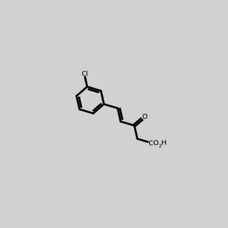 O=C(O)CC(=O)C=Cc1cccc(Cl)c1